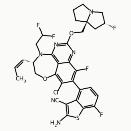 C/C=C\[C@H]1COc2c(Cl)c(-c3ccc(F)c4sc(N)c(C#N)c34)c(F)c3nc(OC[C@@]45CCCN4C[C@H](F)C5)nc(c23)N1CC(F)F